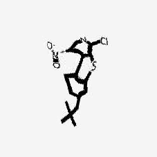 CC(C)(C)Cc1ccc2c(c1)sc1c(Cl)ncc([N+](=O)[O-])c12